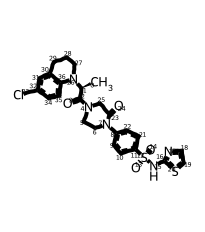 C[C@@H](C(=O)N1CCN(c2ccc(S(=O)(=O)Nc3nccs3)cc2)C(=O)C1)N1CCCc2cc(Cl)ccc21